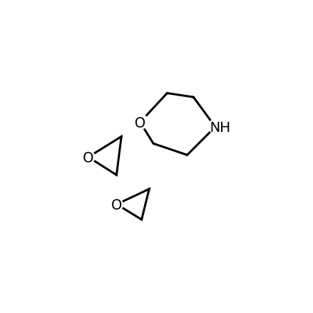 C1CO1.C1CO1.C1COCCN1